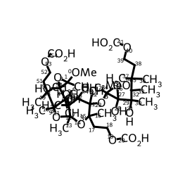 COC1(C)OC1(O)C(C)(O)C(C)(OC1(C)OC(C)(CCOC(=O)O)C(C)(OC2(C)OC2(O)C(C)(O)C(C)(OC)C(C)(C)CCOC(=O)O)C(C)(O)C1(C)O)C(C)(C)CCOC(=O)O